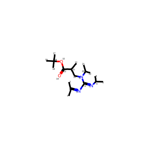 CC(C)=N/C(=N/C(C)C)N(CC(C)C(=O)OC(C)(C)C)C(C)C